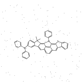 CC1(C)c2ccc(N(c3ccccc3)c3ccccc3)cc2-c2cc3ccc4cc5c6ccccc6sc5c5c4c3c(c21)n5-c1ccccc1